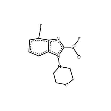 [O-][S+](F)c1nc2c(F)cccc2n1N1CCOCC1